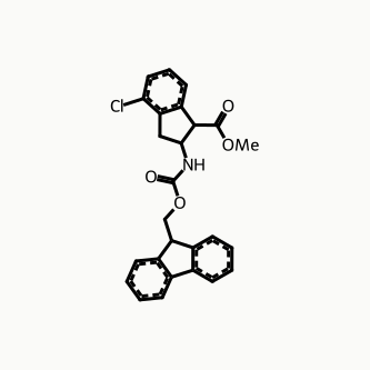 COC(=O)C1c2cccc(Cl)c2CC1NC(=O)OCC1c2ccccc2-c2ccccc21